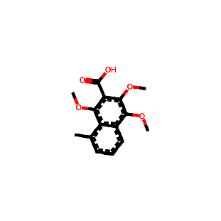 COc1c(C(=O)O)c(OC)c2c(C)cccc2c1OC